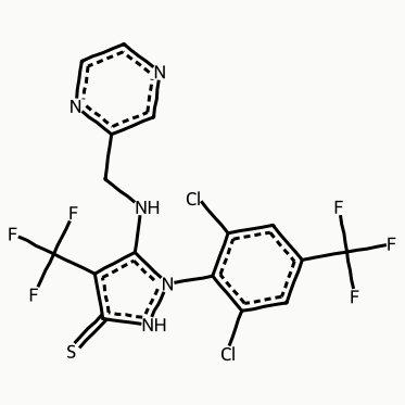 FC(F)(F)c1cc(Cl)c(-n2[nH]c(=S)c(C(F)(F)F)c2NCc2cnccn2)c(Cl)c1